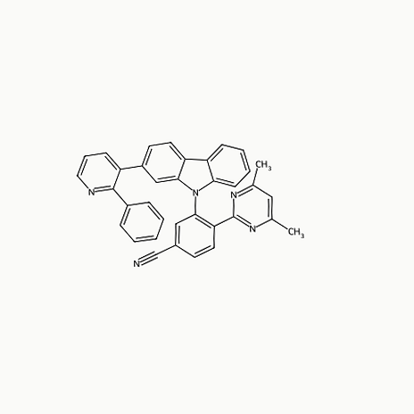 Cc1cc(C)nc(-c2ccc(C#N)cc2-n2c3ccccc3c3ccc(-c4cccnc4-c4ccccc4)cc32)n1